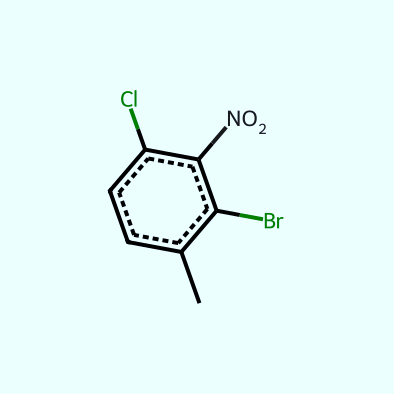 Cc1ccc(Cl)c([N+](=O)[O-])c1Br